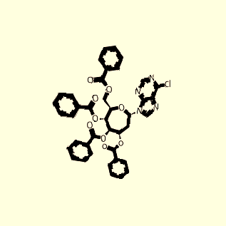 O=C(OC[C@H]1O[C@H](n2cnc3c(Cl)ncnc32)C[C@H](OC(=O)c2ccccc2)[C@@H](OC(=O)c2ccccc2)[C@@H]1OC(=O)c1ccccc1)c1ccccc1